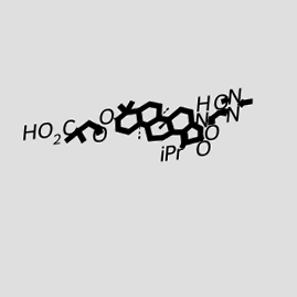 Cc1noc(C(=O)N[C@@]23CC[C@]4(C)C(CCC5[C@@]6(C)CC[C@H](OC(=O)CC(C)(C)C(=O)O)C(C)(C)C6CC[C@]54C)C2=C(C(C)C)C(=O)C3)n1